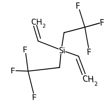 C=C[Si](C=C)(CC(F)(F)F)CC(F)(F)F